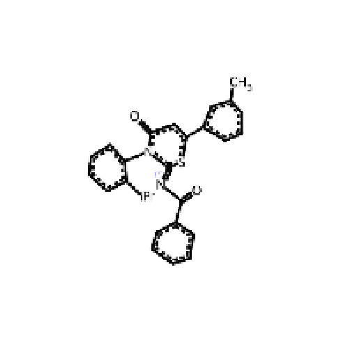 Cc1cccc(-c2cc(=O)n(-c3ccccc3C(C)C)/c(=N/C(=O)c3ccccc3)s2)c1